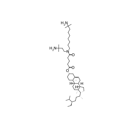 CC[C@H](CC[C@@H](C)[C@H]1CC[C@H]2[C@@H]3CC=C4C[C@@H](OC(=O)CCCC(=O)N(CCCCCCCC(C)(C)N)CCC(C)(C)N)CC[C@]4(C)[C@H]3CC[C@]12C)C(C)C